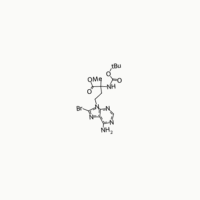 COC(=O)C(C)(CCn1c(Br)nc2c(N)ncnc21)NC(=O)OC(C)(C)C